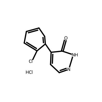 Cl.O=c1[nH]nccc1-c1ccccc1Cl